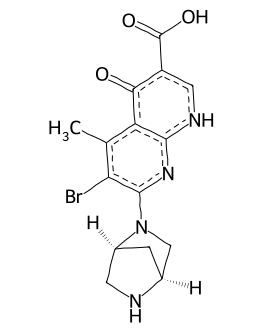 Cc1c(Br)c(N2C[C@@H]3C[C@H]2CN3)nc2[nH]cc(C(=O)O)c(=O)c12